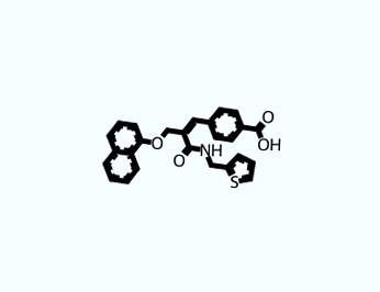 O=C(NCc1cccs1)C(=Cc1ccc(C(=O)O)cc1)COc1cccc2ccccc12